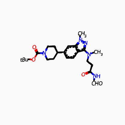 CN(CCC(=O)NC=O)c1nn(C)c2cc(C3CCN(C(=O)OC(C)(C)C)CC3)ccc12